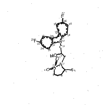 O=S1(=O)CCC(F)N1CC(O)Cn1c2ccc(F)cc2c2cc(F)ccc21